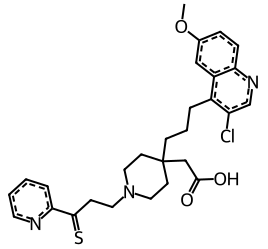 COc1ccc2ncc(Cl)c(CCCC3(CC(=O)O)CCN(CCC(=S)c4ccccn4)CC3)c2c1